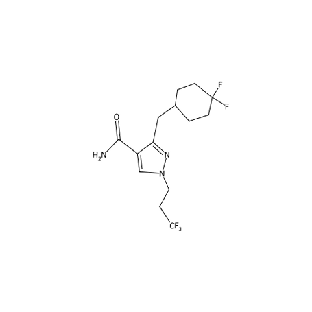 NC(=O)c1cn(CCC(F)(F)F)nc1CC1CCC(F)(F)CC1